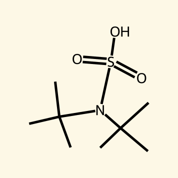 CC(C)(C)N(C(C)(C)C)S(=O)(=O)O